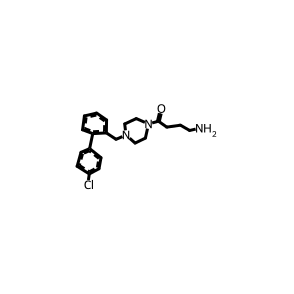 NCCCC(=O)N1CCN(Cc2ccccc2-c2ccc(Cl)cc2)CC1